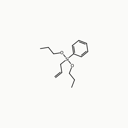 C=CC[Si](OCCC)(OCCC)c1ccccc1